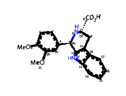 COc1ccc([C@H]2N[C@H](C(=O)O)Cc3c2[nH]c2ccccc32)cc1OC